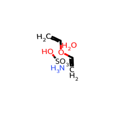 C=COC=C.N.O.O=S(=O)(O)O